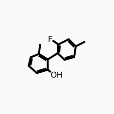 Cc1ccc(-c2c(C)cccc2O)c(F)c1